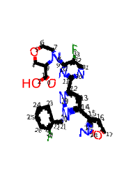 O=C(O)C1COCCN1c1nc(-c2cc(-c3ccon3)n(Cc3ccccc3F)n2)ncc1F